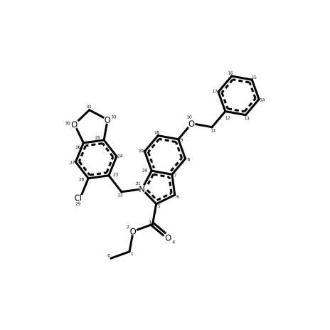 CCOC(=O)c1cc2cc(OCc3ccccc3)ccc2n1Cc1cc2c(cc1Cl)OCO2